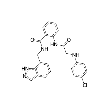 O=C(CNc1ccc(Cl)cc1)Nc1ccccc1C(=O)NCc1cccc2cn[nH]c12